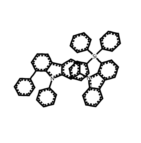 c1ccc(-c2cccc3c4ccc(-n5c6ccccc6c6cccc([Si](c7ccccc7)(c7ccccc7)c7ccccc7)c65)cc4n(-c4ccccc4)c23)cc1